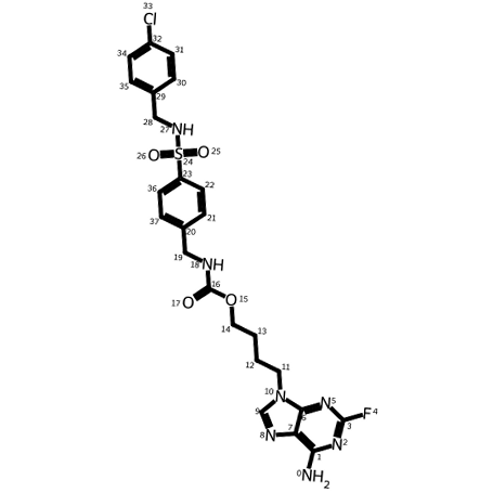 Nc1nc(F)nc2c1ncn2CCCCOC(=O)NCc1ccc(S(=O)(=O)NCc2ccc(Cl)cc2)cc1